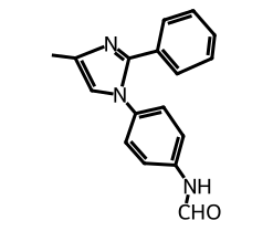 Cc1cn(-c2ccc(NC=O)cc2)c(-c2ccccc2)n1